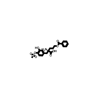 CS(=O)(=O)Oc1ccc(C[C@@](N)(CCCOC(=O)c2ccccc2)C(=O)O)cc1O